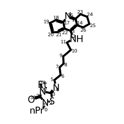 CCCn1s/c(=N/CCCCCCCNc2c3c(nc4ccccc24)CCCC3)n(CC)c1=O